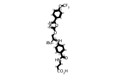 CCC(C)[C@@H](COc1nnc(-c2ccc(OC(F)(F)F)cc2)o1)Nc1ccc(C(=O)NCCC(=O)O)cc1